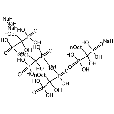 CCCCCCCCC(O)(P(=O)(O)O)P(=O)(O)O.CCCCCCCCC(O)(P(=O)(O)O)P(=O)(O)O.CCCCCCCCC(O)(P(=O)(O)O)P(=O)(O)O.CCCCCCCCC(O)(P(=O)(O)O)P(=O)(O)O.[NaH].[NaH].[NaH].[NaH]